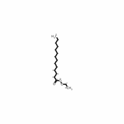 CCCCCCCCCCCCCC(=O)OOCC